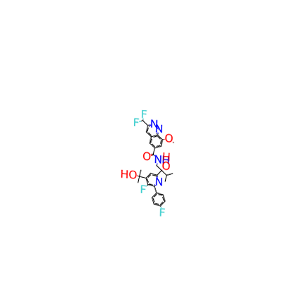 COc1cc(C(=O)NCC(O)(c2cc(C(C)(C)O)c(F)c(-c3ccc(F)cc3)n2)C(C)C)cc2cc(C(F)F)nnc12